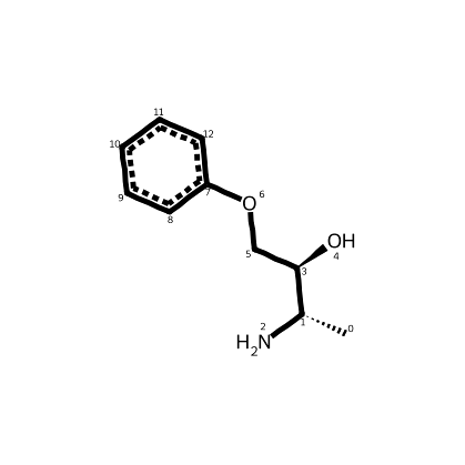 C[C@H](N)[C@H](O)COc1ccccc1